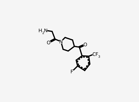 NCC(=O)N1CCC(C(=O)c2cc(F)ccc2C(F)(F)F)CC1